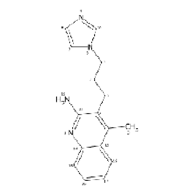 Cc1c(CCCn2ccnc2)c(N)nc2ccccc12